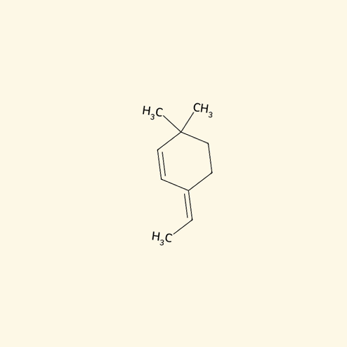 CC=C1C=CC(C)(C)CC1